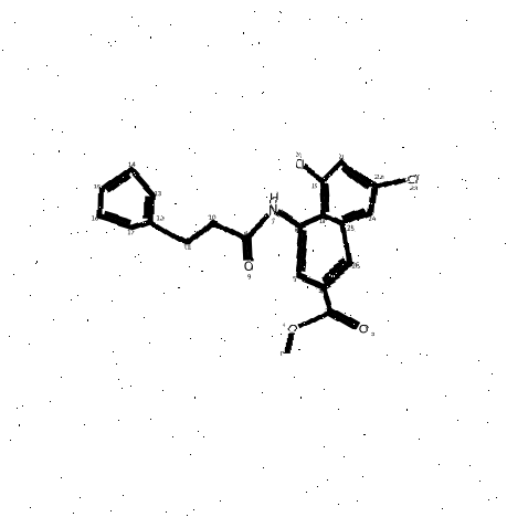 COC(=O)c1cc(NC(=O)CCc2ccccc2)c2c(Cl)cc(Cl)cc2c1